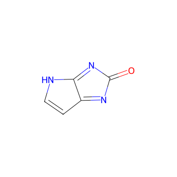 O=C1N=c2cc[nH]c2=N1